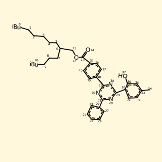 CCC(C)CCCCCC(CCCC(C)CC)COC(=O)c1ccc(-c2nc(-c3ccccc3)nc(-c3ccc(C)cc3O)n2)cc1